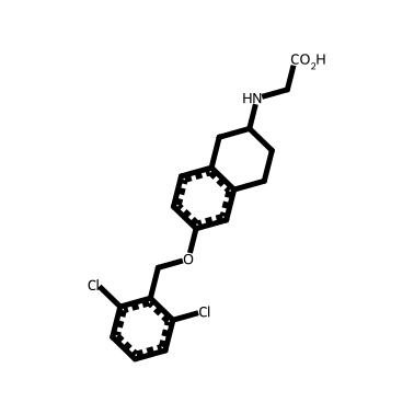 O=C(O)CNC1CCc2cc(OCc3c(Cl)cccc3Cl)ccc2C1